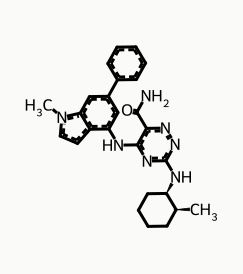 C[C@H]1CCCC[C@H]1Nc1nnc(C(N)=O)c(Nc2cc(-c3ccccc3)cc3c2ccn3C)n1